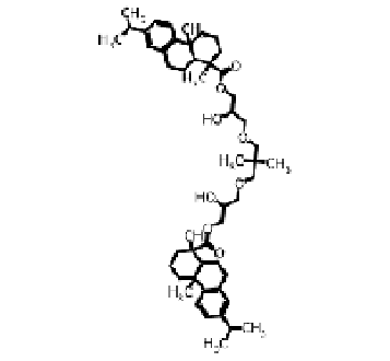 CC(C)c1ccc2c(c1)CCC1C(C)(C(=O)OCC(O)COCC(C)(C)COCC(O)COC(=O)C3(C)CCCC4(C)c5ccc(C(C)C)cc5CCC34)CCCC21C